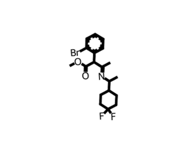 COC(=O)C(/C(C)=N/C(C)C1CCC(F)(F)CC1)c1ccccc1Br